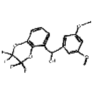 COc1cc(OC)cc(C(O)c2cccc3c2OC(F)(F)C(F)(F)O3)c1